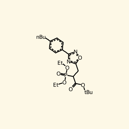 CCCCc1ccc(-c2noc(CC(C(=O)OC(C)(C)C)P(=O)(OCC)OCC)n2)cc1